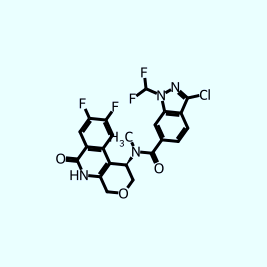 CN(C(=O)c1ccc2c(Cl)nn(C(F)F)c2c1)[C@H]1COCc2[nH]c(=O)c3cc(F)c(F)cc3c21